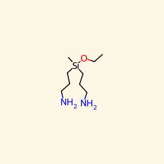 CCO[Si](C)(CCCN)CCCN